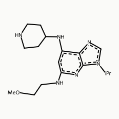 COCCNc1cc(NC2CCNCC2)c2ncn(C(C)C)c2n1